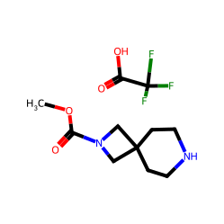 COC(=O)N1CC2(CCNCC2)C1.O=C(O)C(F)(F)F